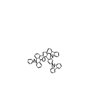 O=c1c2ccccc2n(-c2ccccc2)c2cccc(-c3cccc(-c4ccc(-n5c6ccccc6c6ccccc65)cc4-n4c5ccccc5c5ccccc54)c3)c12